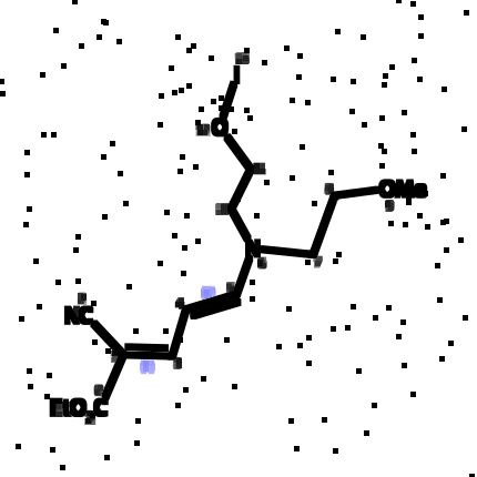 CCOC(=O)/C(C#N)=C/C=C/N(CCOC)CCOI